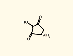 O=C1CCC(=O)N1O.[AlH3]